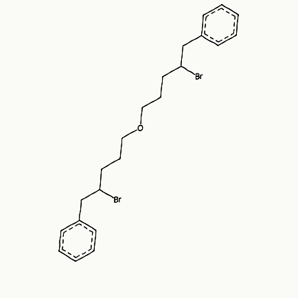 BrC(CCCOCCCC(Br)Cc1ccccc1)Cc1ccccc1